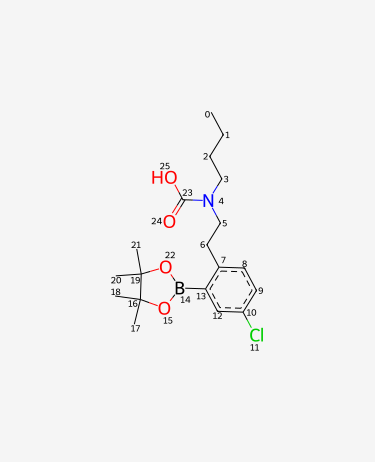 CCCCN(CCc1ccc(Cl)cc1B1OC(C)(C)C(C)(C)O1)C(=O)O